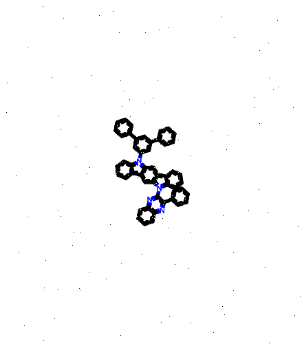 c1ccc(-c2cc(-c3ccccc3)cc(-n3c4ccccc4c4cc5c(cc43)c3ccccc3n5-c3nc4ccccc4nc3-c3ccccc3)c2)cc1